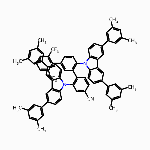 Cc1cc(C)cc(-c2ccc3c(c2)c2cc(-c4cc(C)cc(C)c4)ccc2n3-c2ccc(-c3c(C(F)(F)F)cccc3C(F)(F)F)cc2-c2ccc(C#N)cc2-n2c3ccc(-c4cc(C)cc(C)c4)cc3c3cc(-c4cc(C)cc(C)c4)ccc32)c1